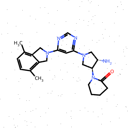 Cc1ccc(C)c2c1CN(c1cc(N3C[C@H](N)[C@@H](N4CCCCC4=O)C3)ncn1)C2